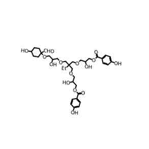 CCC(COCC(O)COC(=O)c1ccc(O)cc1)(COCC(O)COC(=O)c1ccc(O)cc1)COCC(O)COC1(C=O)CCC(O)CC1